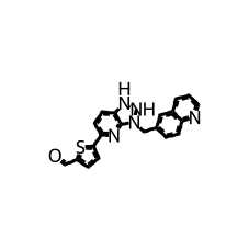 O=Cc1ccc(-c2ccc3c(n2)N(Cc2ccc4ncccc4c2)NN3)s1